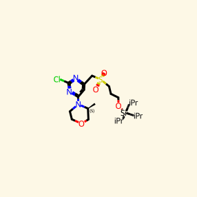 CC(C)[Si](OCCCS(=O)(=O)Cc1cc(N2CCOC[C@@H]2C)nc(Cl)n1)(C(C)C)C(C)C